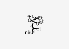 CCCCC(CC)CS(OCC)(OCC)OCC